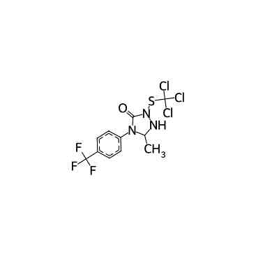 CC1NN(SC(Cl)(Cl)Cl)C(=O)N1c1ccc(C(F)(F)F)cc1